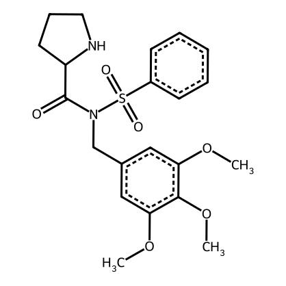 COc1cc(CN(C(=O)C2CCCN2)S(=O)(=O)c2ccccc2)cc(OC)c1OC